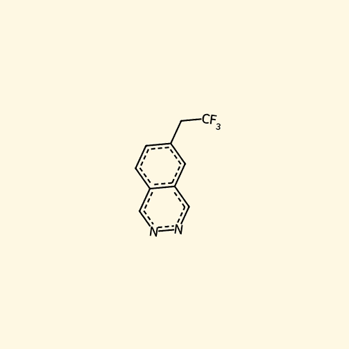 FC(F)(F)Cc1ccc2cnncc2c1